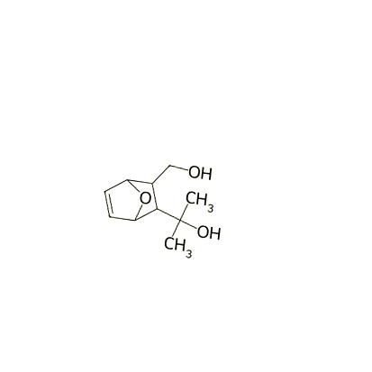 CC(C)(O)C1C2C=CC(O2)C1CO